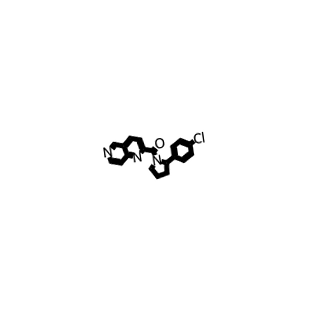 O=C(c1ccc2cnccc2n1)N1CCCC1c1ccc(Cl)cc1